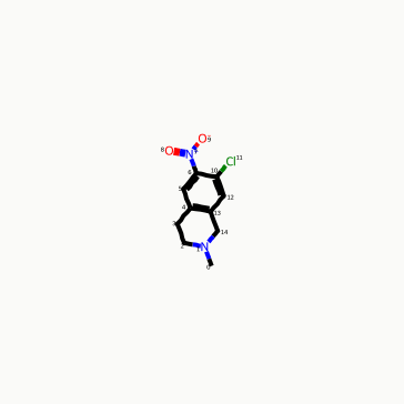 CN1CCc2cc([N+](=O)[O-])c(Cl)cc2C1